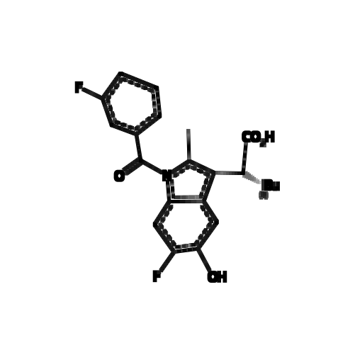 CC[C@@H](C)C(C(=O)O)c1c(C)n(C(=O)c2cccc(F)c2)c2cc(F)c(O)cc12